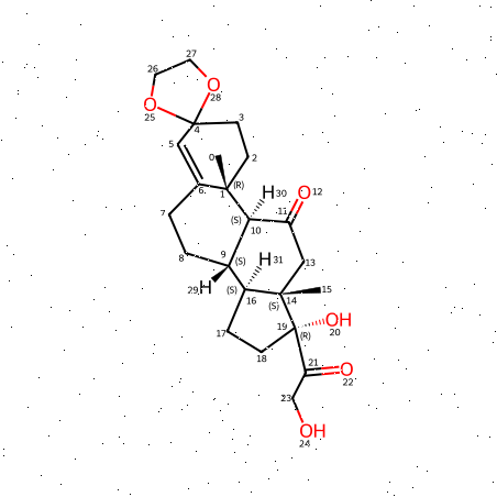 C[C@]12CCC3(C=C1CC[C@@H]1[C@@H]2C(=O)C[C@@]2(C)[C@H]1CC[C@]2(O)C(=O)CO)OCCO3